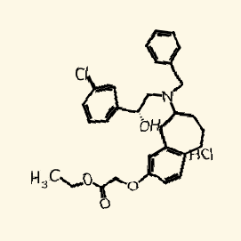 CCOC(=O)COc1ccc2c(c1)CC(N(Cc1ccccc1)C[C@H](O)c1cccc(Cl)c1)CCC2.Cl